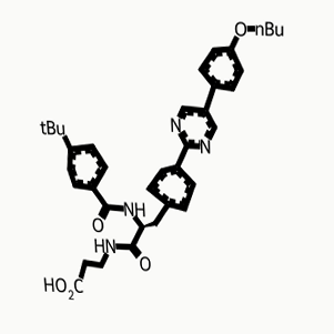 CCCCOc1ccc(-c2cnc(-c3ccc(C[C@H](NC(=O)c4ccc(C(C)(C)C)cc4)C(=O)NCCC(=O)O)cc3)nc2)cc1